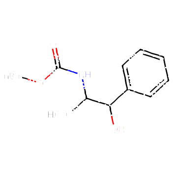 CCCCOC(=O)NC(C(=O)O)C(O)c1ccccc1